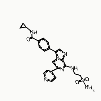 NS(=O)(=O)CCNc1nc(-c2ccncc2)cn2c(-c3ccc(C(=O)NC4CC4)cc3)cnc12